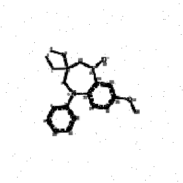 CCC1(CC)CN(c2ccccc2)c2ccc(OC)cc2[S+]([O-])C1